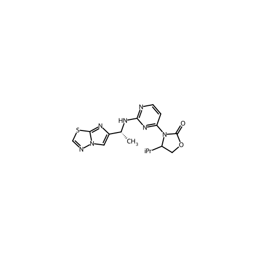 CC(C)C1COC(=O)N1c1ccnc(N[C@H](C)c2cn3ncsc3n2)n1